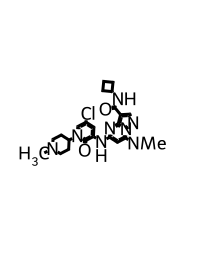 CNc1cc(Nc2cc(Cl)cn(C3CCN(C)CC3)c2=O)nc2c(C(=O)NC3CCC3)cnn12